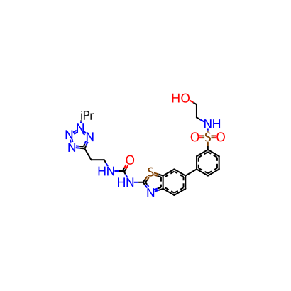 CC(C)n1nnc(CCNC(=O)Nc2nc3ccc(-c4cccc(S(=O)(=O)NCCO)c4)cc3s2)n1